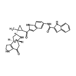 CC1([C@H]2C[C@@H]3C4=C(NCC4)C(=O)C[C@H]3N2)CC1C(=O)c1cc2cc(NC(=O)c3cc4ccccc4[nH]3)ccc2[nH]1